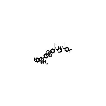 Nc1ccncc1CNC1CCN(S(=O)(=O)c2ccc(Nc3nccc(Nc4ccc(F)cc4)n3)cc2)CC1